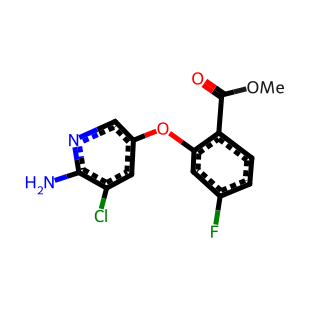 COC(=O)c1ccc(F)cc1Oc1cnc(N)c(Cl)c1